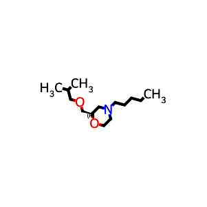 CCCCCN1CCO[C@@H](COCC(C)C)C1